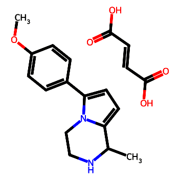 COc1ccc(-c2ccc3n2CCNC3C)cc1.O=C(O)/C=C/C(=O)O